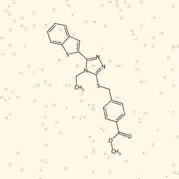 CCn1c(SCc2ccc(C(=O)OC)cc2)nnc1-c1cc2ccccc2s1